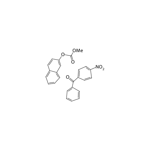 COC(=O)Oc1ccc2ccccc2c1.O=C(c1ccccc1)c1ccc([N+](=O)[O-])cc1